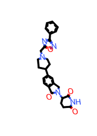 O=C1CCC(N2Cc3cc(C4CCN(Cc5nc(-c6ccccc6)no5)CC4)ccc3C2=O)C(=O)N1